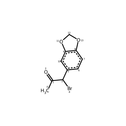 CC(=O)C(Br)c1ccc2c(c1)OCO2